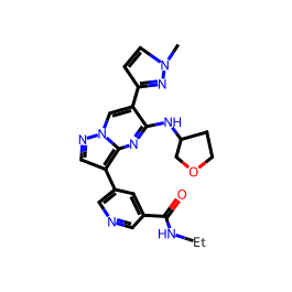 CCNC(=O)c1cncc(-c2cnn3cc(-c4ccn(C)n4)c(NC4CCOC4)nc23)c1